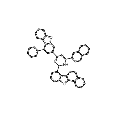 c1ccc(-c2cc(C3=NC(c4cccc5oc6c7ccccc7ccc6c45)NC(c4ccc5ccccc5c4)=N3)cc3oc4ccccc4c23)cc1